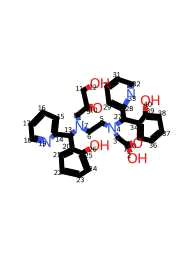 O=C(O)CN(CCN(CC(=O)CO)C(c1ccccn1)c1ccccc1O)C(c1ccccn1)c1ccccc1O